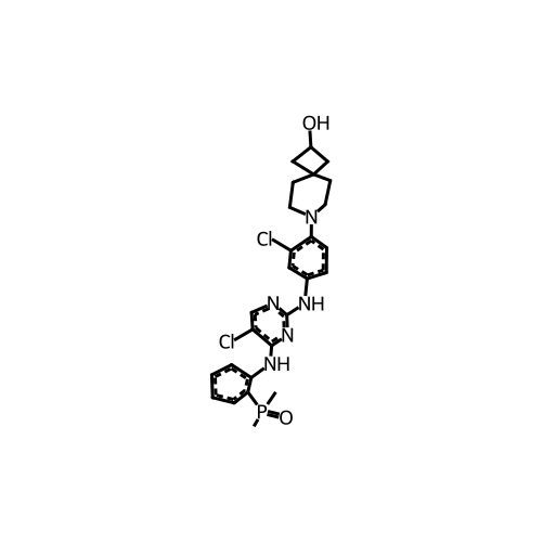 CP(C)(=O)c1ccccc1Nc1nc(Nc2ccc(N3CCC4(CC3)CC(O)C4)c(Cl)c2)ncc1Cl